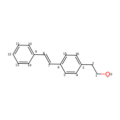 [O]CCc1ccc(C=Cc2ccccc2)cc1